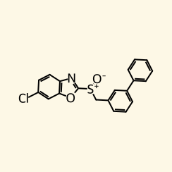 [O-][S+](Cc1cccc(-c2ccccc2)c1)c1nc2ccc(Cl)cc2o1